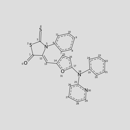 O=C1SC(=S)N(c2ccccc2)/C1=C\c1ccc(N(c2ccccc2)c2ccccn2)o1